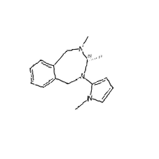 C[C@H]1N(C)Cc2ccccc2CN1c1cccn1C